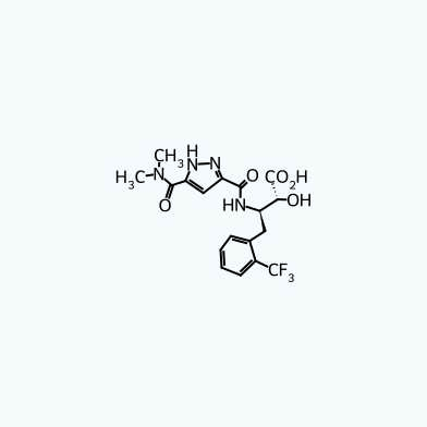 CN(C)C(=O)c1cc(C(=O)N[C@H](Cc2ccccc2C(F)(F)F)[C@@H](O)C(=O)O)n[nH]1